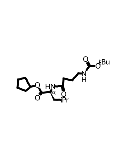 CC(C)C[C@H](NC(=O)CCCNC(=O)OC(C)(C)C)C(=O)OC1CCCC1